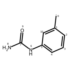 [CH2]c1cccc(NC(N)=O)c1